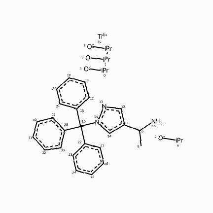 CC(C)[O-].CC(C)[O-].CC(C)[O-].CC(C)[O-].CC(N)c1cnn(C(c2ccccc2)(c2ccccc2)c2ccccc2)c1.[Ti+4]